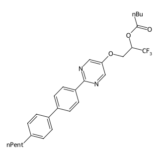 CCCCCc1ccc(-c2ccc(-c3ncc(OCC(OC(=O)CCCC)C(F)(F)F)cn3)cc2)cc1